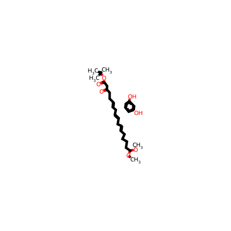 COC(CCCCC=CCC=CCC=CCCC(=O)CC(=O)OC(C)(C)C)OC.Oc1cccc(O)c1